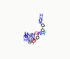 CCCC(CCC)Nc1c(CNC(=O)c2cccc(C(=O)NCc3cc(F)cc(-c4cccc(CN5CCNCC5)c4)c3)c2)c(CC)nc2c1cnn2CC